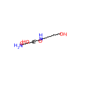 NC(=O)CCCCCC(O)CCCCCCCCCCC(=O)NCCCCCCCCCCCCCCCCCCO